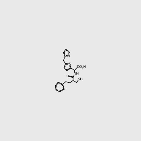 O=C(NC(C(=O)O)c1ccc(Cn2ccnn2)s1)C(CS)CCc1ccccc1